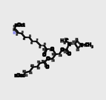 CCCCCCCC/C=C\CCCCCCCC(=O)OC(COC(=O)CCCCCCCCCCCCCCC)COC(=O)N(C)C1CN(C)C1